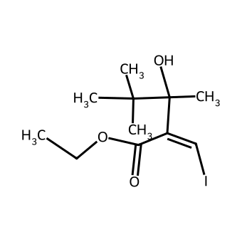 CCOC(=O)/C(=C\I)C(C)(O)C(C)(C)C